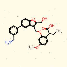 CCC(C(=O)O)c1ccc(OC)cc1OCc1c(CO)oc2ccc(-c3cccc(CN)c3)cc12